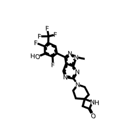 Cn1nc(-c2cc(C(F)(F)F)c(F)c(O)c2F)c2cnc(N3CCC4(CC3)CC(=O)N4)nc21